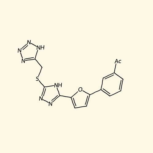 CC(=O)c1cccc(-c2ccc(-c3nnc(SCc4nnn[nH]4)[nH]3)o2)c1